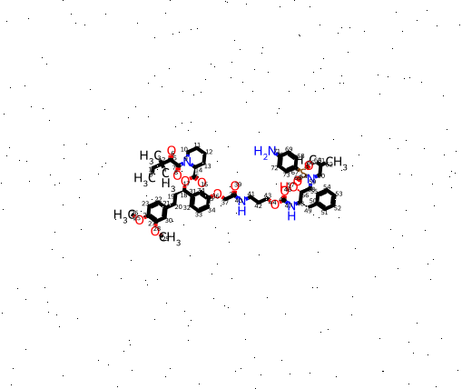 CCC(C)(C)C(=O)C(=O)N1CCCC[C@H]1C(=O)O[C@H](CCc1ccc(OC)c(OC)c1)c1cccc(OCC(=O)NCCCOC(=O)N[C@@H](Cc2ccccc2)[C@H](O)CN(CC(C)C)S(=O)(=O)c2ccc(N)cc2)c1